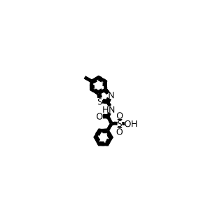 Cc1ccc2nc(NC(=O)C(c3ccccc3)S(=O)(=O)O)sc2c1